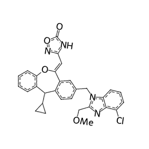 COCc1nc2c(Cl)cccc2n1Cc1ccc2c(c1)C(=Cc1noc(=O)[nH]1)Oc1ccccc1C2C1CC1